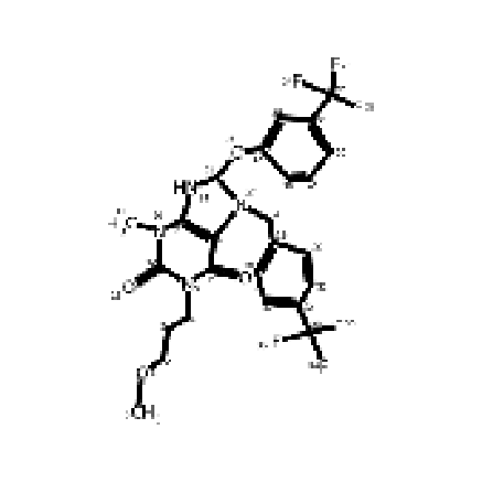 COCCCn1c(=O)c2c(n(C)c1=O)NC(Oc1cccc(C(F)(F)F)c1)N2Cc1ccc(C(F)(F)F)cc1